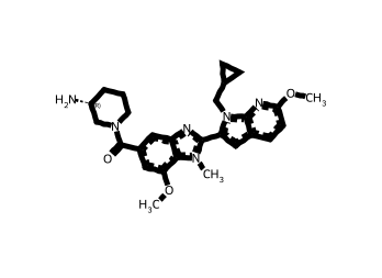 COc1ccc2cc(-c3nc4cc(C(=O)N5CCC[C@@H](N)C5)cc(OC)c4n3C)n(CC3CC3)c2n1